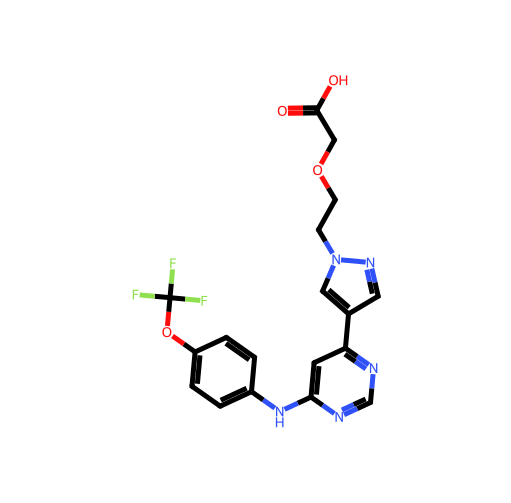 O=C(O)COCCn1cc(-c2cc(Nc3ccc(OC(F)(F)F)cc3)ncn2)cn1